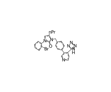 CCCc1cn(-c2ccccc2Br)c(=O)n1Cc1ccc(-c2cnccc2-c2nnn[nH]2)cc1